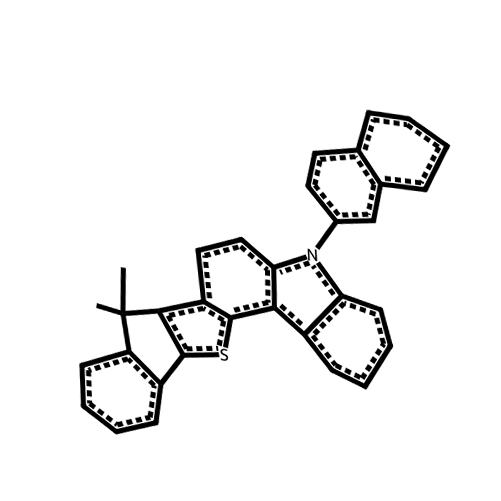 CC1(C)c2ccccc2-c2sc3c(ccc4c3c3ccccc3n4-c3ccc4ccccc4c3)c21